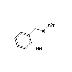 CC[CH2][Al][CH2]c1ccccc1.[HH]